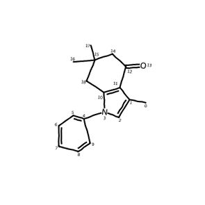 Cc1cn(-c2ccccc2)c2c1C(=O)CC(C)(C)C2